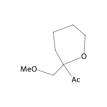 COCC1(C(C)=O)CCCCO1